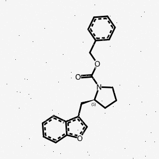 O=C(OCc1ccccc1)N1CCC[C@H]1Cc1coc2ccccc12